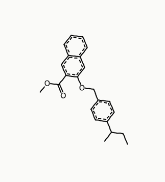 CCC(C)c1ccc(COc2cc3ccccc3cc2C(=O)OC)cc1